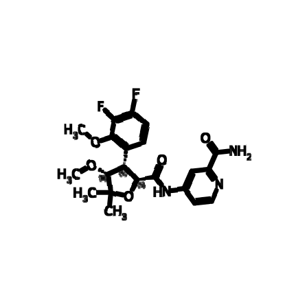 COc1c([C@@H]2[C@@H](C(=O)Nc3ccnc(C(N)=O)c3)OC(C)(C)[C@@H]2OC)ccc(F)c1F